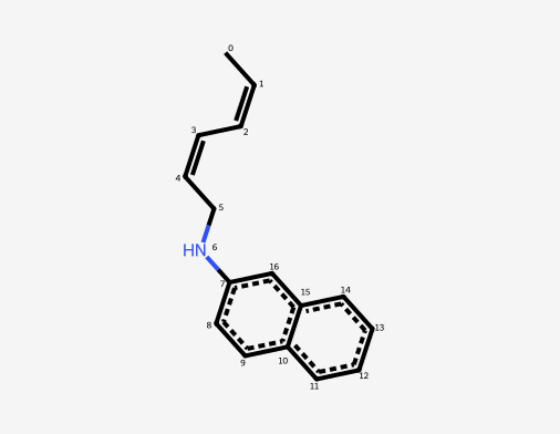 C/C=C\C=C/CNc1ccc2ccccc2c1